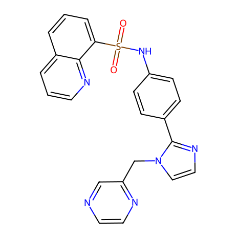 O=S(=O)(Nc1ccc(-c2nccn2Cc2cnccn2)cc1)c1cccc2cccnc12